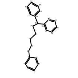 [CH](CCc1ccccc1)CCC(c1ccccc1)c1ccccn1